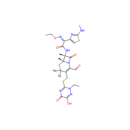 [2H]C1([2H])S[C@@]2(C)N(C(=O)[C@@]2(C)NC(=O)/C(=N\OCC)c2csc(NC)n2)C(C=O)=C1CSc1nc(=O)c(O)nn1CC